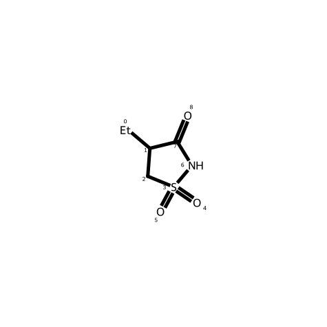 CCC1CS(=O)(=O)NC1=O